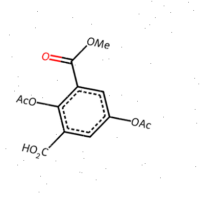 COC(=O)c1cc(OC(C)=O)cc(C(=O)O)c1OC(C)=O